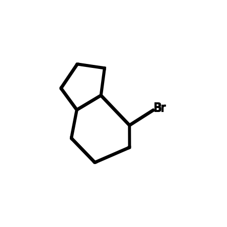 BrC1CCCC2CCCC12